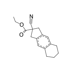 CCOC(=O)C1(C#N)Cc2cc3c(cc2C1)CCCC3